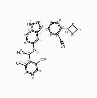 N#Cc1cc(-c2n[nH]c3ccc(O[C@H](N)c4c(Cl)cncc4Cl)cc23)cnc1N1CCC1